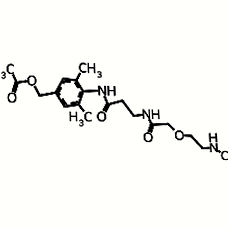 CNCCOCC(=O)NCCC(=O)Nc1c(C)cc(COC(C)=O)cc1C